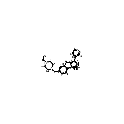 CCN1CCN(Cc2ccc3c(c2)Cc2c(-c4ccsc4)n[nH]c2-3)CC1